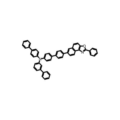 c1ccc(-c2ccc(N(c3ccc(-c4ccc(-c5ccc6c(ccc7oc(-c8ccccc8)nc76)c5)cc4)cc3)c3cccc(-c4ccccc4)c3)cc2)cc1